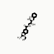 CC(C)CN1c2ccc(C(=O)NC[C@H](O)[C@H](Cc3ccccc3)NC(=O)O)cc2SC1N